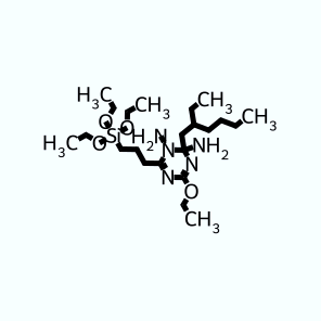 CCCCC(CC)CC1(N)N=C(OCC)N=C(CCC[Si](OCC)(OCC)OCC)N1N